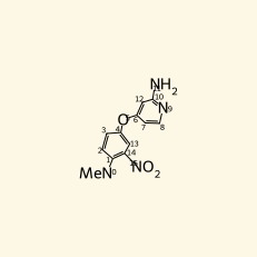 CNc1ccc(Oc2ccnc(N)c2)cc1[N+](=O)[O-]